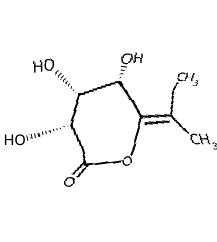 CC(C)=C1OC(=O)[C@H](O)[C@H](O)[C@@H]1O